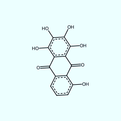 O=C1c2cccc(O)c2C(=O)c2c(O)c(O)c(O)c(O)c21